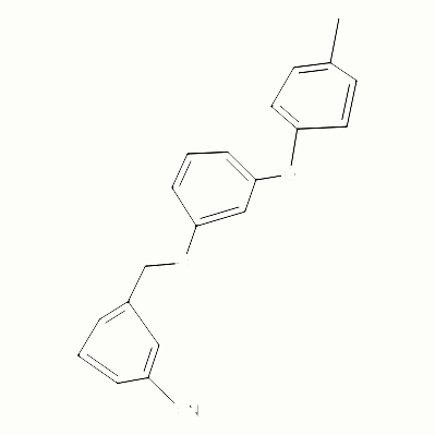 Cc1ccc(Oc2cccc(OCc3cccc(C#N)c3)c2)cc1